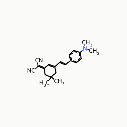 CN(C)c1ccc(/C=C/C2=CC(=C(C#N)C#N)CC(C)(C)C2)cc1